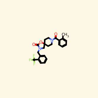 Cc1ccccc1C(=O)N1CCC2(CC1)CN(Cc1ccccc1C(F)(F)F)C(=O)O2